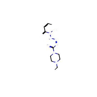 C=C(/C=C\CC)N(C)N(C)/N=N\C(=N/CC)N1CCN(CC(=O)O)CC1